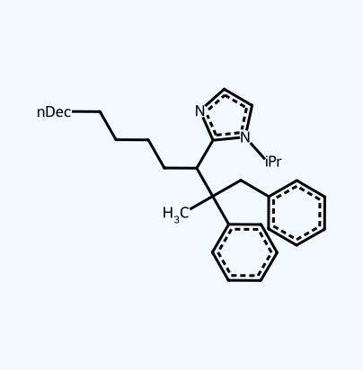 CCCCCCCCCCCCCCC(c1nccn1C(C)C)C(C)(Cc1ccccc1)c1ccccc1